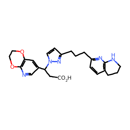 O=C(O)CC(c1cnc2c(c1)OCCO2)n1ccc(CCCc2ccc3c(n2)NCCC3)n1